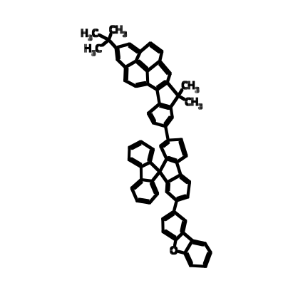 CC(C)(C)c1cc2ccc3cc4c(c5ccc(c1)c2c35)-c1ccc(-c2ccc3c(c2)C2(c5ccccc5-c5ccccc52)c2cc(-c5ccc6oc7ccccc7c6c5)ccc2-3)cc1C4(C)C